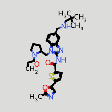 C=CC(=O)N1CCCC1Cn1c(NC(=O)c2ccc(-c3cnc(C)o3)s2)nc2cc(CNCC(C)(C)C)ccc21